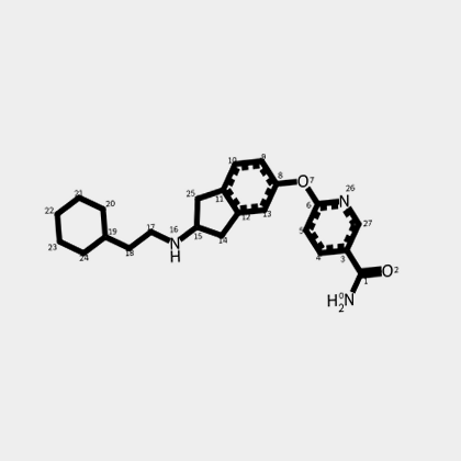 NC(=O)c1ccc(Oc2ccc3c(c2)CC(NCCC2CCCCC2)C3)nc1